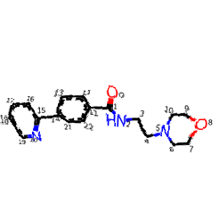 O=C(NCCN1CCOCC1)c1ccc(-c2ccccn2)cc1